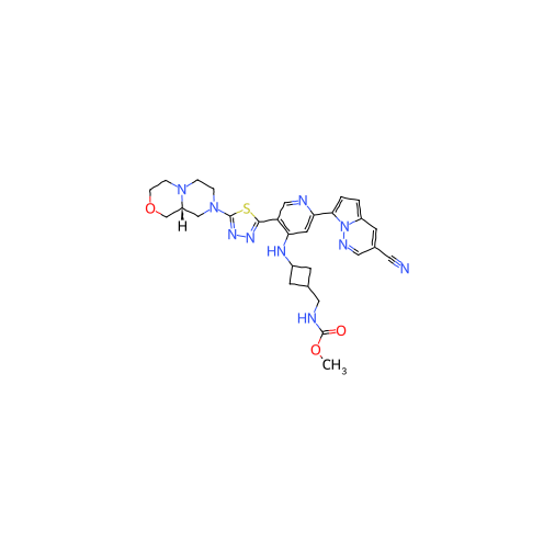 COC(=O)NCC1CC(Nc2cc(-c3ccc4cc(C#N)cnn34)ncc2-c2nnc(N3CCN4CCOC[C@H]4C3)s2)C1